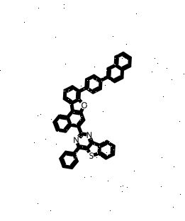 c1ccc(-c2nc(-c3cc4oc5c(-c6ccc(-c7ccc8ccccc8c7)cc6)cccc5c4c4ccccc34)nc3c2sc2ccccc23)cc1